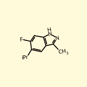 Cc1n[nH]c2cc(F)c(C(C)C)cc12